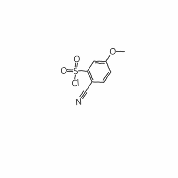 COc1ccc(C#N)c(S(=O)(=O)Cl)c1